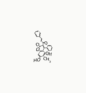 Cc1c(O)cc2oc(=O)c(C(=O)C=Cc3ccccc3)c(-c3ccccc3)c2c1O